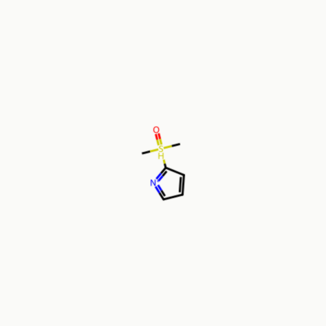 C[SH](C)(=O)C1=[N+]=CC=C1